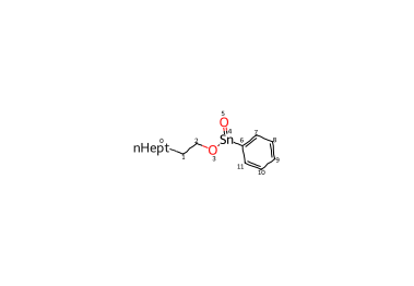 CCCCCCCCC[O][Sn](=[O])[c]1ccccc1